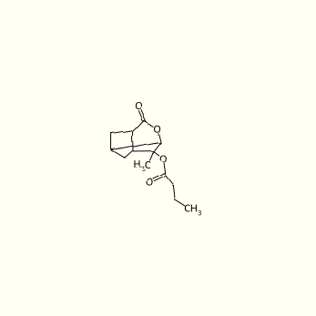 CCCC(=O)OC1(C)C2CC3CC2C(=O)OC31